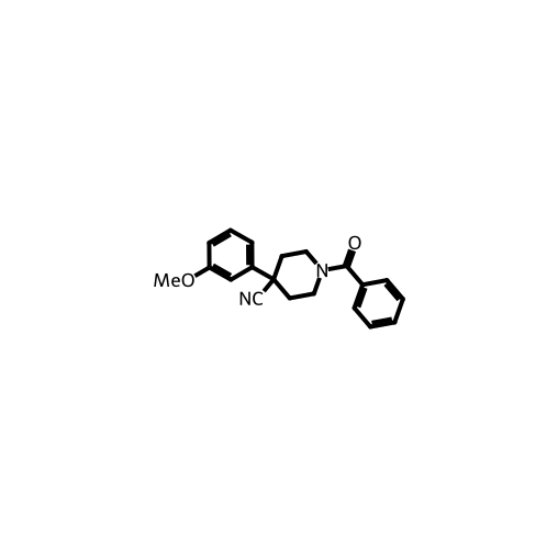 COc1cccc(C2(C#N)CCN(C(=O)c3ccccc3)CC2)c1